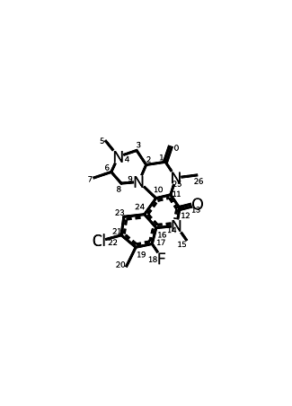 C=C1C2CN(C)C(C)CN2c2c(c(=O)n(C)c3c(F)c(C)c(Cl)cc23)N1C